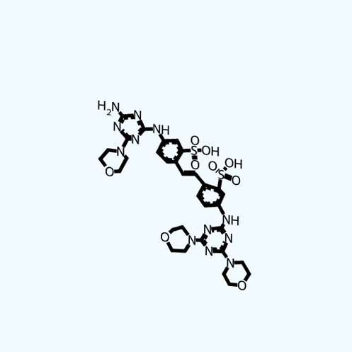 Nc1nc(Nc2ccc(/C=C/c3ccc(Nc4nc(N5CCOCC5)nc(N5CCOCC5)n4)cc3S(=O)(=O)O)c(S(=O)(=O)O)c2)nc(N2CCOCC2)n1